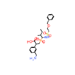 CCC(C)C(NS(=O)(=O)CCOCc1ccccc1)P(=O)(O)CC(C(=O)O)c1cccc(CN)c1